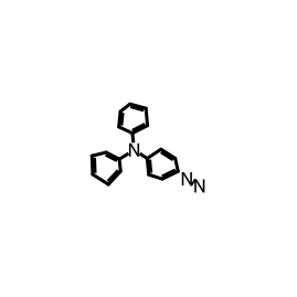 N#N.c1ccc(N(c2ccccc2)c2ccccc2)cc1